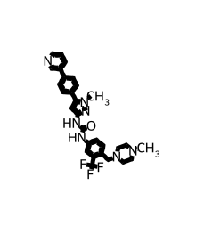 CN1CCN(Cc2ccc(NC(=O)Nc3cc(-c4ccc(-c5cccnc5)cc4)n(C)n3)cc2C(F)(F)F)CC1